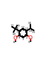 COc1cc(OC)c(C(C)(C)C)cc1C(C)C